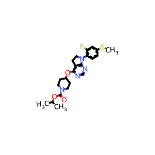 CSc1ccc(N2CCc3c(OC4CCN(C(=O)OC(C)C)CC4)ncnc32)c(F)c1